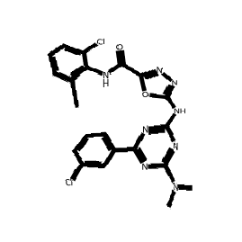 Cc1cccc(Cl)c1NC(=O)c1nnc(Nc2nc(-c3cccc(Cl)c3)nc(N(C)C)n2)o1